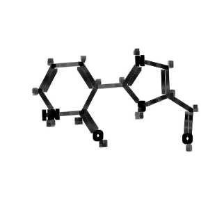 O=Cc1cnc(-c2ccc[nH]c2=O)s1